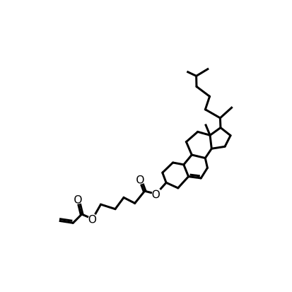 C=CC(=O)OCCCCC(=O)OC1CCC2C(=CCC3C2CCC2(C)C(C(C)CCCC(C)C)CCC32)C1